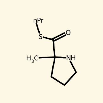 CCCSC(=O)C1(C)CCCN1